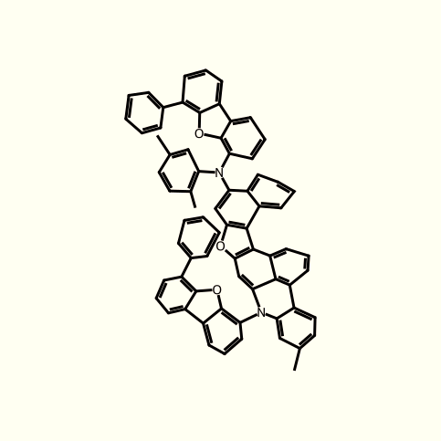 Cc1ccc(C)c(N(c2cc3oc4cc5c6c(cccc6c4c3c3ccccc23)-c2ccc(C)cc2N5c2cccc3c2oc2c(-c4ccccc4)cccc23)c2cccc3c2oc2c(-c4ccccc4)cccc23)c1